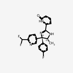 C[C@@H]1NC(c2cccc(=O)[nH]2)=N[C@@]1(c1ccc(F)cc1)c1ccc(C(F)F)nc1